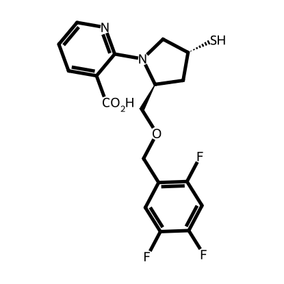 O=C(O)c1cccnc1N1C[C@H](S)C[C@H]1COCc1cc(F)c(F)cc1F